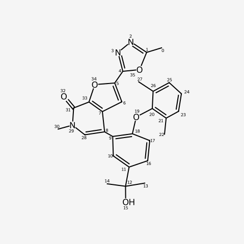 Cc1nnc(-c2cc3c(-c4cc(C(C)(C)O)ccc4Oc4c(C)cccc4C)cn(C)c(=O)c3o2)o1